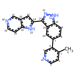 Cc1ccncc1-c1ccc2[nH]nc(-c3cc4cnccc4[nH]3)c2c1